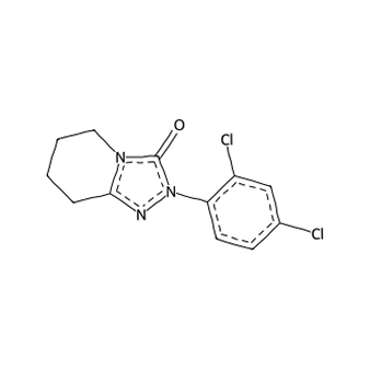 O=c1n(-c2ccc(Cl)cc2Cl)nc2n1CCCC2